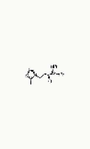 CCCN(CCC)C(=O)CCn1c[c]nc1C